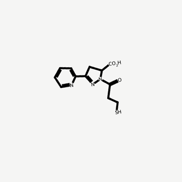 O=C(O)C1CC(c2ccccn2)=NN1C(=O)CCS